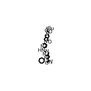 CN(C)C(=O)c1cc2cnc(Nc3ccc(N4CC5CN(C(=O)OC(C)(C)C)CC5C4=O)cn3)nc2n1C1CCCCCC1